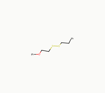 CC(C)CCSSCCOC(C)C